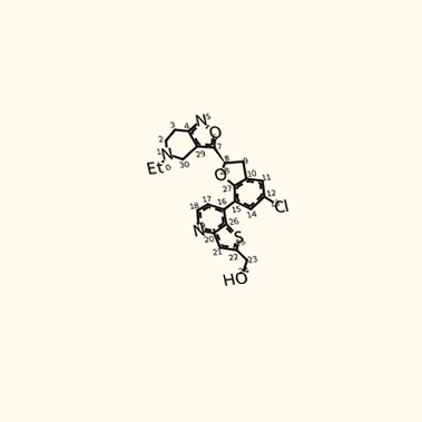 CCN1CCc2noc([C@H]3Cc4cc(Cl)cc(-c5ccnc6cc(CO)sc56)c4O3)c2C1